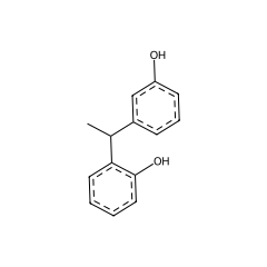 CC(c1cccc(O)c1)c1ccccc1O